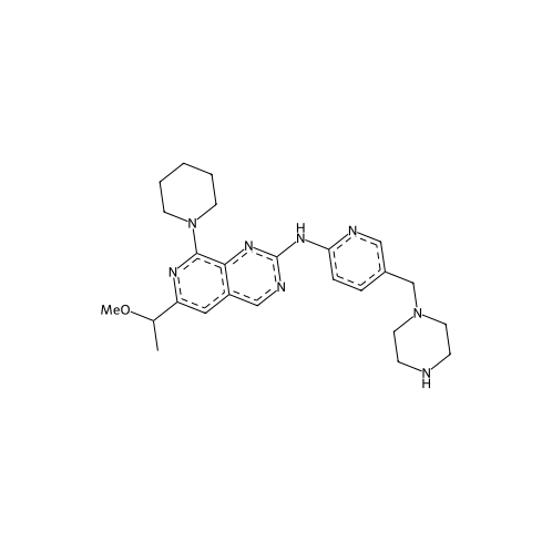 COC(C)c1cc2cnc(Nc3ccc(CN4CCNCC4)cn3)nc2c(N2CCCCC2)n1